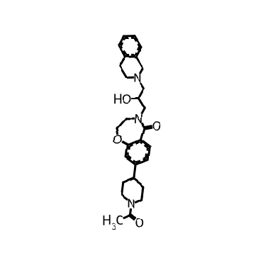 CC(=O)N1CCC(c2ccc3c(c2)OCCN(CC(O)CN2CCc4ccccc4C2)C3=O)CC1